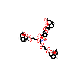 CO[C@]1(C)CC[C@H]2[C@H](C)CC[C@H]3[C@@H](C)[C@H](OC(=O)CCC(=O)OCC(COC(=O)CCC(=O)O[C@H]4O[C@H]5OC6(C)CC[C@@H]7[C@@H](C)CC[C@](C)([C@@H]4C)[C@]57OO6)(NS(=O)(=O)c4ccccc4)OC(=O)CCC(=O)O[C@@H]4O[C@@H]5O[C@]6(C)CC[C@@H]7[C@@H](C)CC[C@@H]([C@H]4C)[C@]57OO6)OC[C@]32OO1